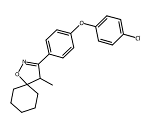 CC1C(c2ccc(Oc3ccc(Cl)cc3)cc2)=NOC12CCCCC2